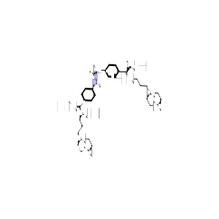 CN1CCN(CCCNC(=N)c2ccc(/N=N/N(C)c3ccc(C(=N)NCCCN4CCN(C)CC4)cc3)cc2)CC1